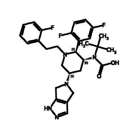 CC(C)(C)N(C(=O)O)[C@@H]1C[C@H](N2Cc3cn[nH]c3C2)CN(CCc2ccccc2F)[C@H]1c1cc(F)ccc1F